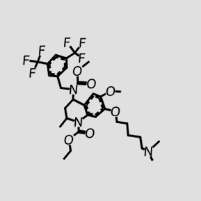 CCOC(=O)N1c2cc(OCCCCCN(C)C)c(OC)cc2C(N(Cc2cc(C(F)(F)F)cc(C(F)(F)F)c2)C(=O)OC)CC1C